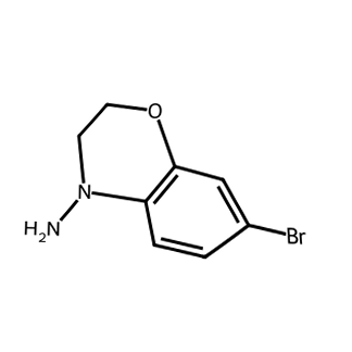 NN1CCOc2cc(Br)ccc21